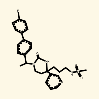 CC(c1ccc(-c2ccc(F)cc2)cc1)N1CCC(CCCNS(C)(=O)=O)(c2cccnc2)NC1=O